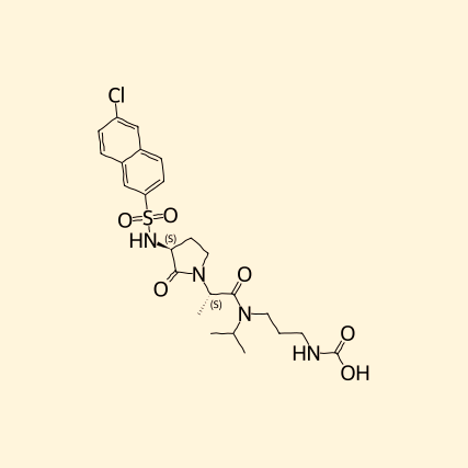 CC(C)N(CCCNC(=O)O)C(=O)[C@H](C)N1CC[C@H](NS(=O)(=O)c2ccc3cc(Cl)ccc3c2)C1=O